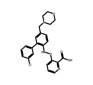 O=C(O)c1ncccc1OBc1ccc(CN2CCOCC2)cc1-c1cccc(Cl)c1